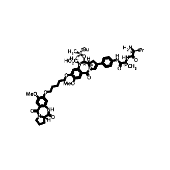 COc1cc2c(cc1OCCCCCOc1cc3c(cc1OC)C(=O)N1C=C(c4ccc(NC(=O)[C@H](C)NC(=O)[C@@H](N)C(C)C)cc4)C[C@H]1[C@H](O[Si](C)(C)C(C)(C)C)N3C(=O)O)NC(=O)[C@@H]1CCCN1C2=O